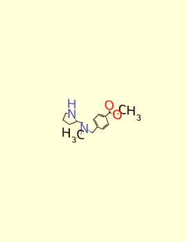 COC(=O)c1ccc(CN(C)CC2CCCN2)cc1